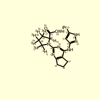 [2H]C1([2H])N(c2nc3c(c(Nc4cc(C(C)C)[nH]n4)n2)CCC3)C([2H])(C(=O)OC)C([2H])([2H])C1([2H])[2H]